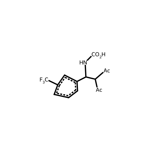 CC(=O)C(C(C)=O)C(NC(=O)O)c1cccc(C(F)(F)F)c1